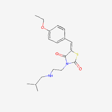 CCOc1ccc(C=C2SC(=O)N(CCNCC(C)C)C2=O)cc1